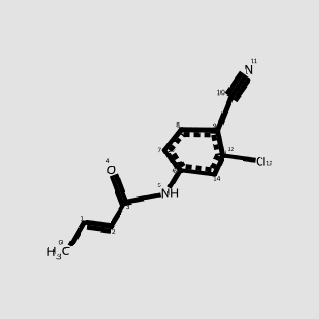 CC=CC(=O)Nc1ccc(C#N)c(Cl)c1